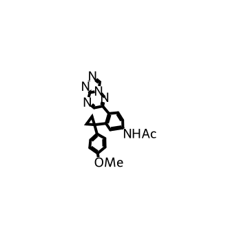 COc1ccc(C2(c3cc(NC(C)=O)ccc3-c3cnc4nncn4n3)CC2)cc1